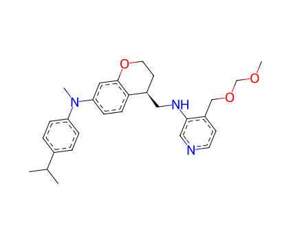 COCOCc1ccncc1NC[C@@H]1CCOc2cc(N(C)c3ccc(C(C)C)cc3)ccc21